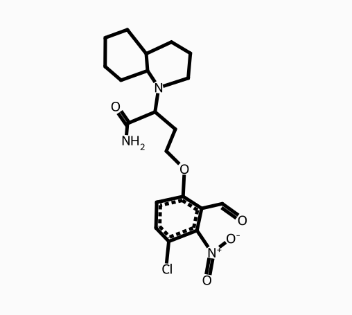 NC(=O)C(CCOc1ccc(Cl)c([N+](=O)[O-])c1C=O)N1CCCC2CCCCC21